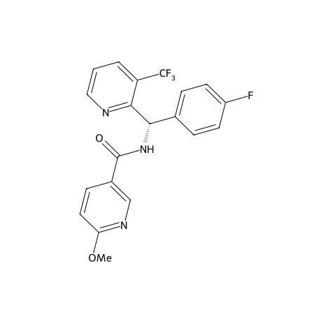 COc1ccc(C(=O)N[C@@H](c2ccc(F)cc2)c2ncccc2C(F)(F)F)cn1